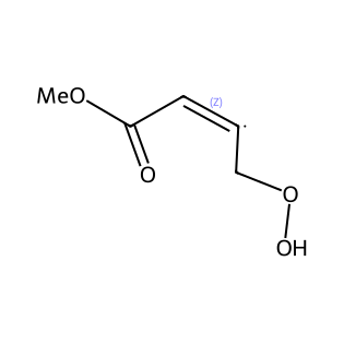 COC(=O)/C=[C]\COO